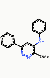 COc1nnc(-c2ccccc2)cc1Nc1ccccc1